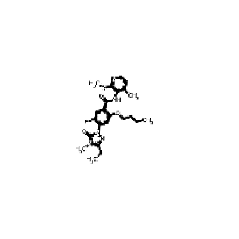 CCCCOc1cc(-n2nc(CC)n(C)c2=O)c(F)cc1C(=O)Nc1c(C)ccnc1OC